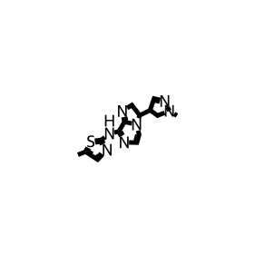 Cc1cnc(NC2=NC=CN3C2=NCC3C2C=NN(C)C2)s1